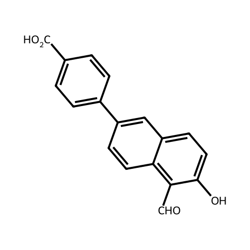 O=Cc1c(O)ccc2cc(-c3ccc(C(=O)O)cc3)ccc12